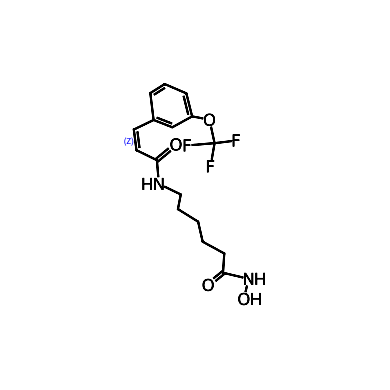 O=C(/C=C\c1cccc(OC(F)(F)F)c1)NCCCCCC(=O)NO